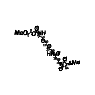 COCCOC(=O)NCCOCCOCCNC(=O)CCCN1C(=O)C=C(SC)C1=O